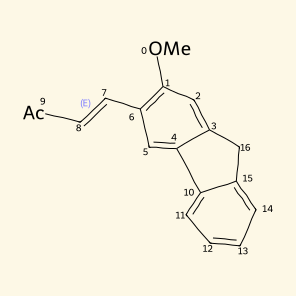 COc1cc2c(cc1/C=C/C(C)=O)-c1ccccc1C2